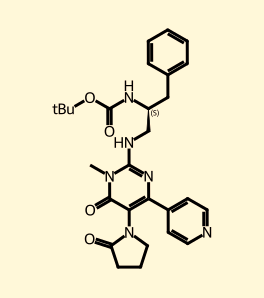 Cn1c(NC[C@H](Cc2ccccc2)NC(=O)OC(C)(C)C)nc(-c2ccncc2)c(N2CCCC2=O)c1=O